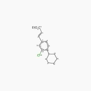 CCOC(=O)/C=C/c1ccc(C2CCCCC2)c(Cl)c1